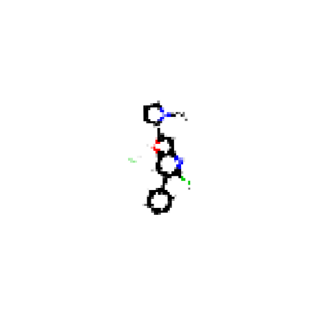 CN1CCC[C@@H]1c1cc2nc(Cl)c(-c3ccccc3)cc2o1.Cl